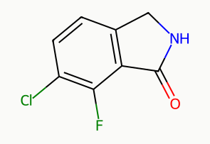 O=C1NCc2ccc(Cl)c(F)c21